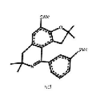 COc1cc2c(c3c1OC(C)(C)C3)C(c1cccc(SC)c1)=NC(C)(C)C2.Cl